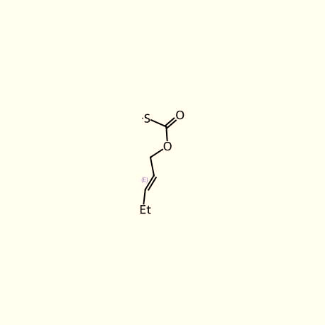 CC/C=C/COC(=O)[S]